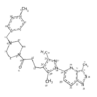 Cc1ccc(CN2CCN(C(=O)CCc3c(C)nn(-c4ccc5nnc(C)n5n4)c3C)CC2)cc1